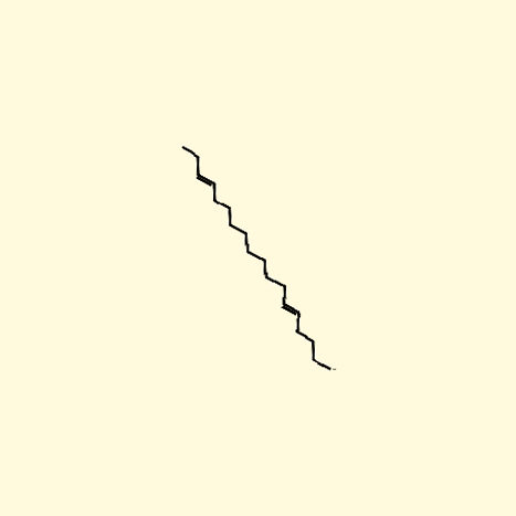 [CH2]CCCC=CCCCCCCCCC=CCC